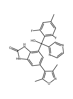 Cc1cc(F)c(C(O)(c2cnccn2)c2cc(-c3c(C)noc3C)cc3[nH]c(=O)[nH]c23)c(F)c1